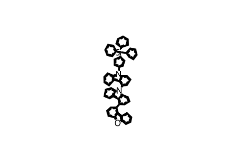 c1ccc([Si](c2ccccc2)(c2ccccc2)c2ccc(-n3c4ccccc4c4c(-n5c6ccccc6c6c(-c7cccc8oc9ccccc9c78)cccc65)cccc43)cc2)cc1